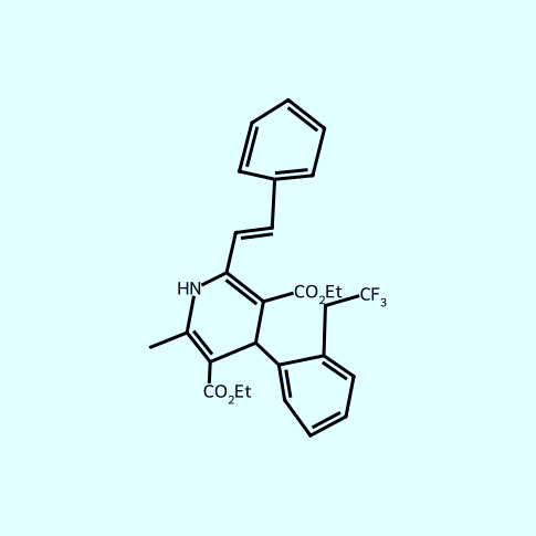 CCOC(=O)C1=C(C)NC(C=Cc2ccccc2)=C(C(=O)OCC)C1c1ccccc1CC(F)(F)F